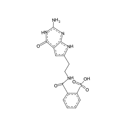 Nc1nc2[nH]c(CCNC(=O)c3ccccc3S(=O)(=O)O)cc2c(=O)[nH]1